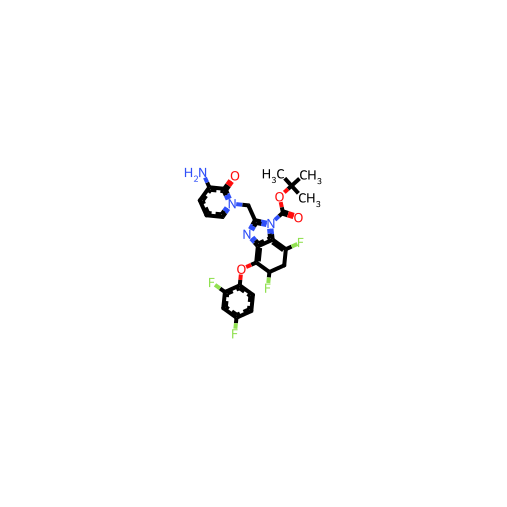 CC(C)(C)OC(=O)n1c(Cn2cccc(N)c2=O)nc2c1=C(F)CC(F)C=2Oc1ccc(F)cc1F